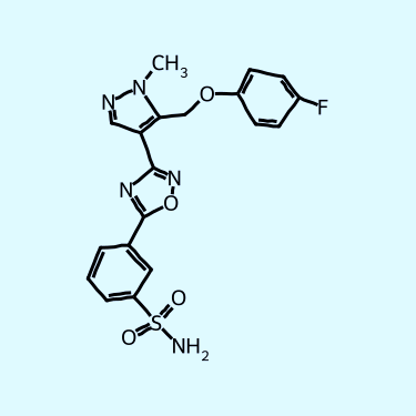 Cn1ncc(-c2noc(-c3cccc(S(N)(=O)=O)c3)n2)c1COc1ccc(F)cc1